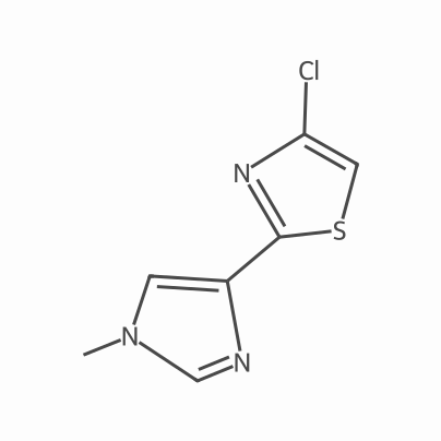 Cn1cnc(-c2nc(Cl)cs2)c1